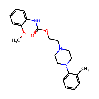 COc1ccccc1NC(=O)OCCN1CCN(c2ccccc2C)CC1